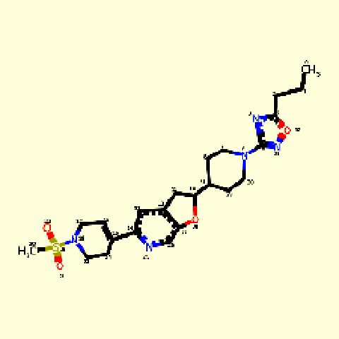 CCCc1nc(N2CCC(C3Cc4cc(C5=CCN(S(C)(=O)=O)CC5)ncc4O3)CC2)no1